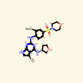 COc1cc(S(=O)(=O)N2CCOCC2)ccc1Nc1nc(N[C@H]2CCOC2)c2c(C(F)(F)F)c[nH]c2n1